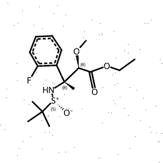 CCOC(=O)[C@H](OC)[C@](C)(N[S@+]([O-])C(C)(C)C)c1ccccc1F